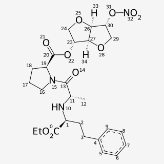 CCOC(=O)[C@H](CCc1ccccc1)N[C@@H](C)C(=O)N1CCC[C@H]1C(=O)O[C@@H]1CO[C@@H]2[C@H]1OC[C@H]2O[N+](=O)[O-]